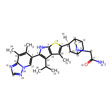 Cc1c(-c2[nH]c3sc([C@@H]4CC5CCC4CN5CC(N)=O)c(C)c3c2C(C)C)cn2ncnc2c1C